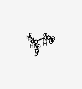 CCN1CCC(C(=O)Nc2cc(C#CCNc3cc(S(C)(=O)=O)ccc3OC)cc3c2ccn3CC(F)(F)F)CC1